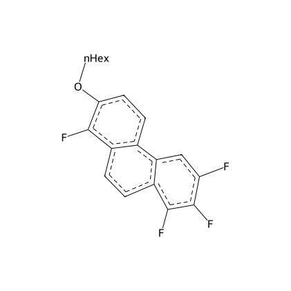 CCCCCCOc1ccc2c(ccc3c(F)c(F)c(F)cc32)c1F